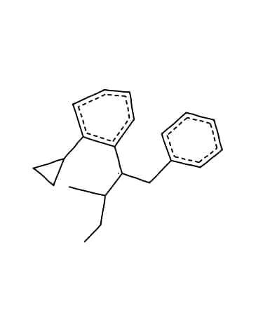 CCC(C)[C](Cc1ccccc1)c1ccccc1C1CC1